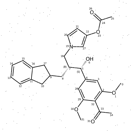 COc1cc([C@@H](O)[C@H](CC2Cc3ccccc3C2)Cn2ccc(OC(C)=O)c2)cc(OC)c1C(C)=O